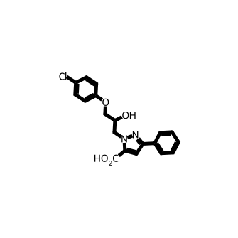 O=C(O)c1cc(-c2ccccc2)nn1CC(O)COc1ccc(Cl)cc1